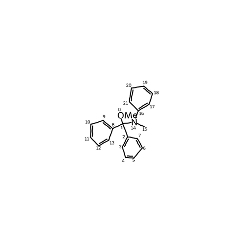 COC(c1ccccc1)(c1ccccc1)N(C)c1ccccc1